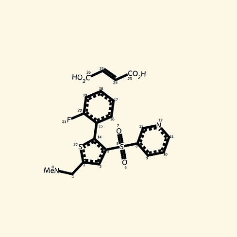 CNCc1cc(S(=O)(=O)c2cccnc2)c(-c2ccccc2F)s1.O=C(O)C=CC(=O)O